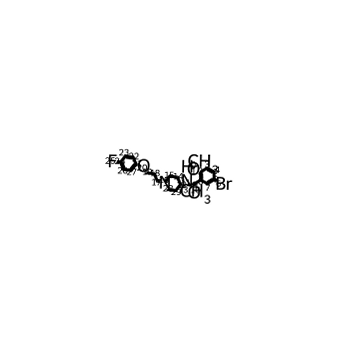 COc1ccc(Br)cc1C(=O)NC1(C)CCN(CCCOc2ccc(F)cc2)CC1